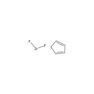 [CH]1C=CC=C1.[F][Zr][F]